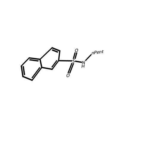 CCCCCNS(=O)(=O)c1ccc2ccccc2c1